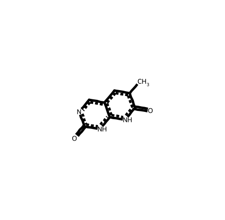 Cc1cc2cnc(=O)[nH]c2[nH]c1=O